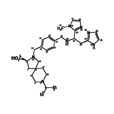 CCOC(=O)[C@@H]1CC2(CCN(C(CC)CC)CC2)CN1Cc1ccc(CNC(Cc2ncc[nH]2)c2nccn2C)cc1